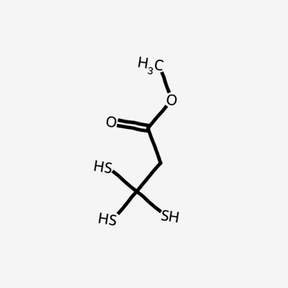 COC(=O)CC(S)(S)S